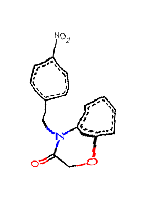 O=C1COc2ccccc2N1Cc1ccc([N+](=O)[O-])cc1